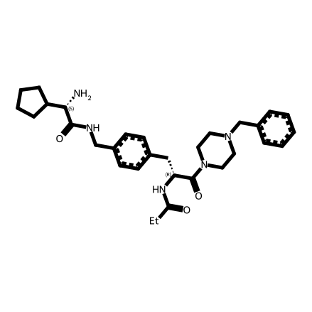 CCC(=O)N[C@H](Cc1ccc(CNC(=O)[C@@H](N)C2CCCC2)cc1)C(=O)N1CCN(Cc2ccccc2)CC1